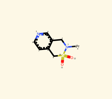 CC(C)N1Cc2cnccc2CS1(=O)=O